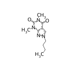 CCCCn1cc2c(=O)n(C)c(=O)n(C)c2n1